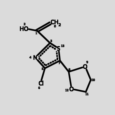 C=C(O)c1nc(Cl)c(C2OCCO2)s1